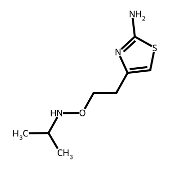 CC(C)NOCCc1csc(N)n1